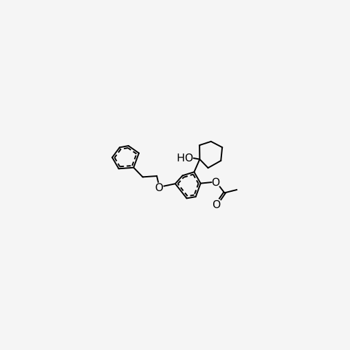 CC(=O)Oc1ccc(OCCc2ccccc2)cc1C1(O)CCCCC1